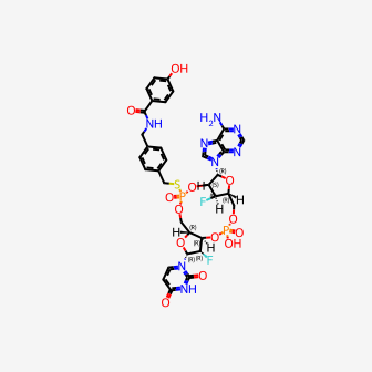 Nc1ncnc2c1ncn2[C@@H]1O[C@@H]2COP(=O)(O)O[C@H]3[C@@H](F)[C@H](n4ccc(=O)[nH]c4=O)O[C@@H]3COP(=O)(SCc3ccc(CNC(=O)c4ccc(O)cc4)cc3)O[C@@H]1[C@@H]2F